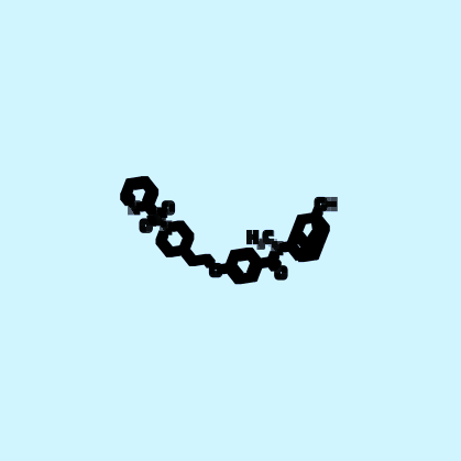 CN(C(=O)c1ccc(OCCC2CCN(S(=O)(=O)c3ccccn3)CC2)cc1)C1C2CC3CC1CC(O)(C3)C2